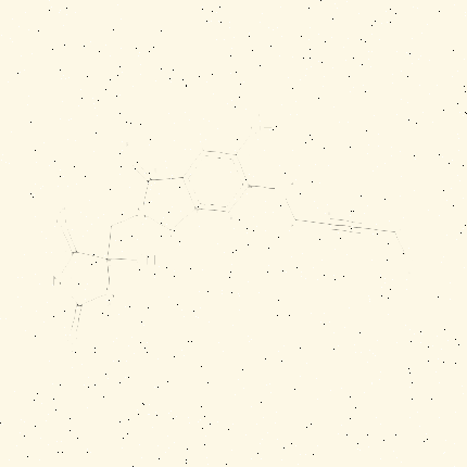 CC1(CN2Cc3cc(OCC#CCO)c(O)cc3C2=O)NC(=O)NC1=O